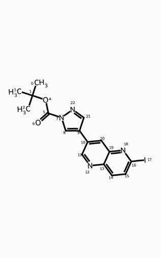 CC(C)(C)OC(=O)n1cc(-c2cnc3ccc(I)nc3c2)cn1